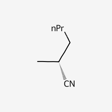 CCCC[C@@H](C)C#N